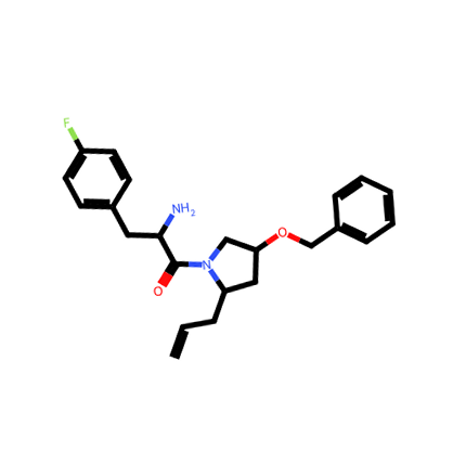 C=CCC1CC(OCc2ccccc2)CN1C(=O)C(N)Cc1ccc(F)cc1